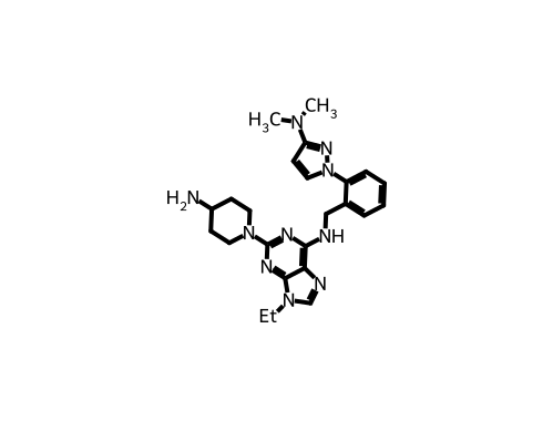 CCn1cnc2c(NCc3ccccc3-n3ccc(N(C)C)n3)nc(N3CCC(N)CC3)nc21